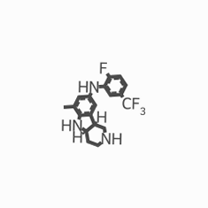 Cc1cc(Nc2cc(C(F)(F)F)ccc2F)cc2c1N[C@H]1CCNC[C@@H]21